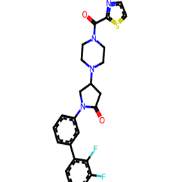 O=C(c1nccs1)N1CCN(C2CC(=O)N(c3cccc(-c4cccc(F)c4F)c3)C2)CC1